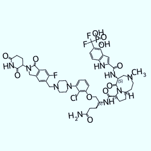 CN1CC[C@H]2CC[C@@H](C(=O)N[C@@H](CCC(N)=O)COc3cccc(N4CCN(Cc5cc6c(cc5F)C(=O)N(C5CCC(=O)NC5=O)C6)CC4)c3Cl)N2C(=O)[C@@H](NC(=O)c2cc3cc(C(F)(F)P(=O)(O)O)ccc3[nH]2)C1